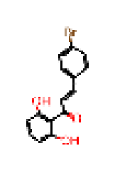 O=C(/C=C/c1ccc(Br)cc1)c1c(O)cccc1O